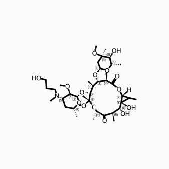 CO[C@H]1[C@H](O[C@@H]2[C@@H](C)[C@H](O[C@H]3C[C@@](C)(OC)[C@@H](O)[C@H](C)O3)[C@@H](C)C(=O)O[C@@H]3C(C)[C@]3(O)[C@H](O)[C@@H](C)C(=O)[C@H](C)C[C@]2(C)OC)O[C@H](C)C[C@@H]1N(C)CCCO